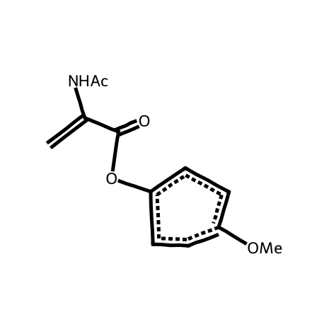 C=C(NC(C)=O)C(=O)Oc1ccc(OC)cc1